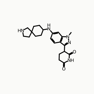 Cn1nc(C2CCC(=O)NC2=O)c2ccc(NC3CCC4(CCNC4)CC3)cc21